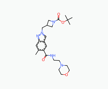 Cc1cc2nn(CC3CN(C(=O)OC(C)(C)C)C3)cc2cc1C(=O)NCCN1CCOCC1